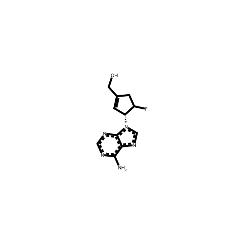 Nc1ncnc2c1ncn2[C@@H]1C=C(CO)CC1F